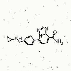 NC(=O)c1ccc(-c2ccc(CNC3CC3)cc2)n2n[c]nc12